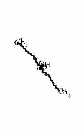 CCCCCCCCCCCCCCCCCCN(CCCCCCCCCCCCCCCCCC)C(=O)O